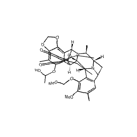 COCOc1c(OC)c(C)cc2c1[C@@H]1[C@@H]3[C@@H]4SCC(=O)C(=O)OC[C@H](c5c6c(c(C)c(OC(C)O)c54)OCO6)N3[C@@H](C)[C@@H]3CC2N13